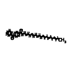 CCC=CCC=CCC=CCC=CCC=CCC=CCCC(=O)N1CCN(C(=O)c2cccnc2)CC1